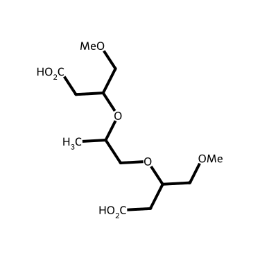 COCC(CC(=O)O)OCC(C)OC(COC)CC(=O)O